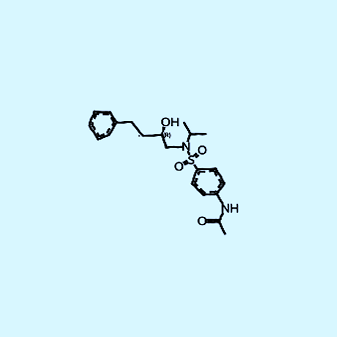 CC(=O)Nc1ccc(S(=O)(=O)N(C[C@H](O)[CH]Cc2ccccc2)C(C)C)cc1